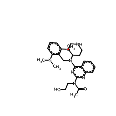 COc1cccc(N(C)C)c1CN(c1nc(N(CCO)C(C)=O)nc2ccccc12)C1CCNCC1